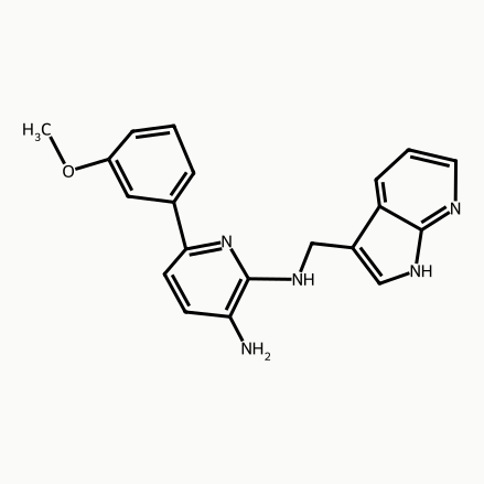 COc1cccc(-c2ccc(N)c(NCc3c[nH]c4ncccc34)n2)c1